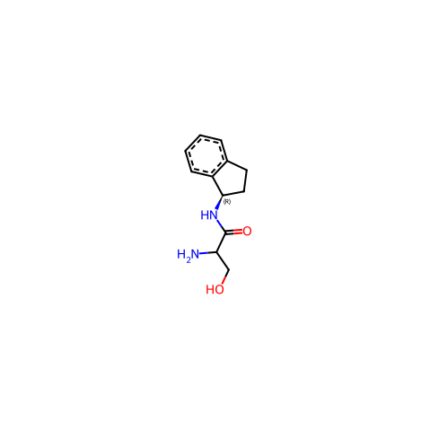 NC(CO)C(=O)N[C@@H]1CCc2ccccc21